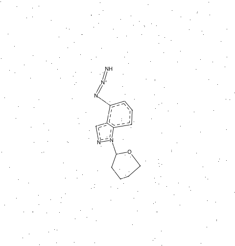 N=[N+]=Nc1cccc2c1cnn2C1CCCCO1